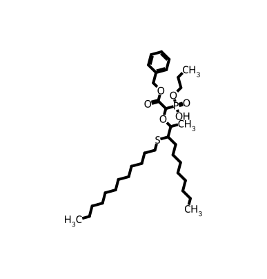 CCCCCCCCCCCCSC(CCCCCCCC)C(C)OC(C(=O)OCc1ccccc1)P(=O)(O)OCCC